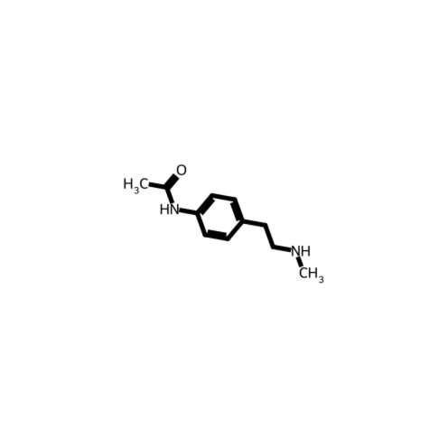 CNCCc1ccc(NC(C)=O)cc1